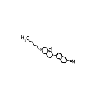 CCCCCC[C@@H]1CC[C@@H]2CC(c3ccc4cc(C#N)ccc4c3)CCC2C1